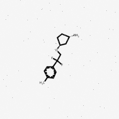 Cc1ccc(C(F)(F)CO[C@H]2CC[C@H](N)C2)cc1